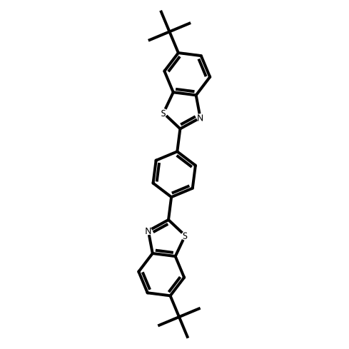 CC(C)(C)c1ccc2nc(-c3ccc(-c4nc5ccc(C(C)(C)C)cc5s4)cc3)sc2c1